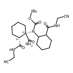 CC(C)(C)OC(=O)N(C1CCCCC1C(=O)NCC#N)[C@@]1(C(N)=O)CCCC[C@H]1C(=O)NCC#N